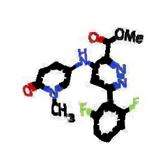 COC(=O)c1nnc(-c2c(F)cccc2F)cc1Nc1ccc(=O)n(C)c1